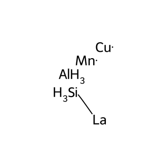 [AlH3].[Cu].[Mn].[SiH3][La]